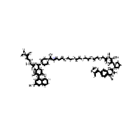 Cc1ncsc1-c1ccc([C@H](C)NC(=O)[C@@H]2CCCN2C(=O)[C@@H](NC(=O)COCCOCCOCCOCCOCC/C=C/C(=O)N2CCN(c3nc(NCCC(=O)N(C)C)nc4c(F)c(-c5cc(O)cc6ccccc56)c(Cl)cc34)CC2)C(C)(C)C)cc1